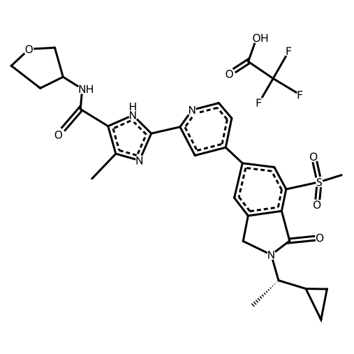 Cc1nc(-c2cc(-c3cc4c(c(S(C)(=O)=O)c3)C(=O)N([C@@H](C)C3CC3)C4)ccn2)[nH]c1C(=O)NC1CCOC1.O=C(O)C(F)(F)F